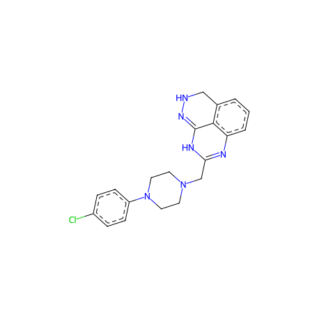 Clc1ccc(N2CCN(CC3=Nc4cccc5c4C(=NNC5)N3)CC2)cc1